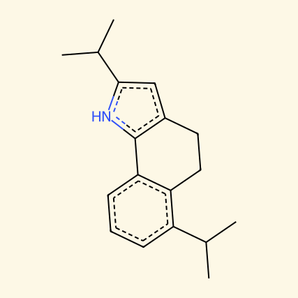 CC(C)c1cc2c([nH]1)-c1cccc(C(C)C)c1CC2